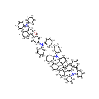 c1ccc(N(c2cccc(-c3cccc(N(c4ccccc4)c4ccc5c(c4)oc4cc(N(c6ccccc6)c6ccccc6)c6ccccc6c45)c3)c2)c2ccc3c(c2)C(c2ccccc2)(c2ccccc2)c2cc(N(c4ccccc4)c4ccccc4)c4ccccc4c2-3)cc1